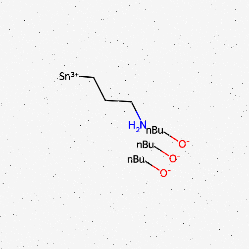 CCCC[O-].CCCC[O-].CCCC[O-].NCC[CH2][Sn+3]